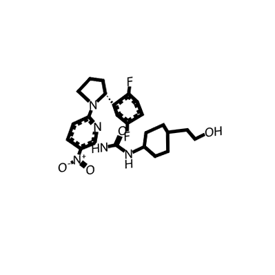 O=C(Nc1nc(N2CCC[C@@H]2c2cc(F)ccc2F)ccc1[N+](=O)[O-])NC1CCC(CCO)CC1